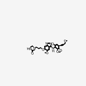 COCC#Cc1cc(Cl)c(Nc2ncnc3cc(OCCCN4CCNC(=O)C4)c(OC)cc23)c2c1OCO2